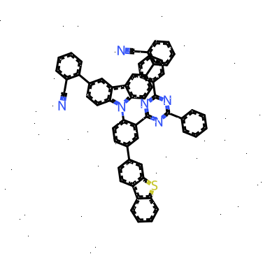 N#Cc1ccccc1-c1ccc2c(c1)c1cc(-c3ccccc3C#N)ccc1n2-c1ccc(-c2ccc3c(c2)sc2ccccc23)cc1-c1nc(-c2ccccc2)nc(-c2ccccc2)n1